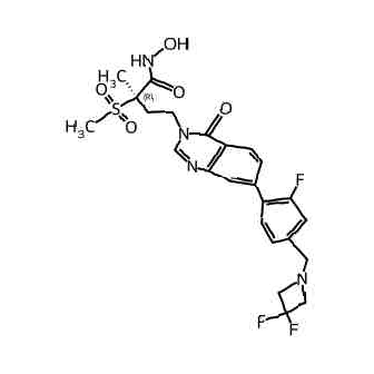 C[C@@](CCn1cnc2cc(-c3ccc(CN4CC(F)(F)C4)cc3F)ccc2c1=O)(C(=O)NO)S(C)(=O)=O